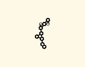 c1ccc2cc(-c3ccc4c5ccc(-c6ccc7oc8cc9c(cc8c7c6)oc6ccccc69)cc5c5ccccc5c4c3)ccc2c1